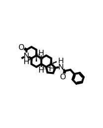 CN1C(=O)CC[C@]2(C)[C@H]3CC[C@]4(C)C(NC(=O)Cc5ccccc5)CC[C@H]4[C@@H]3CC[C@@H]12